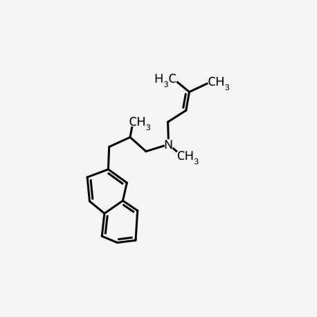 CC(C)=CCN(C)CC(C)Cc1ccc2ccccc2c1